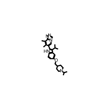 Cc1c(-c2[nH]c3ccc(OCC4CCN(C(C)C)CC4)cc3c2C(C)C)cn2cnnc2c1C